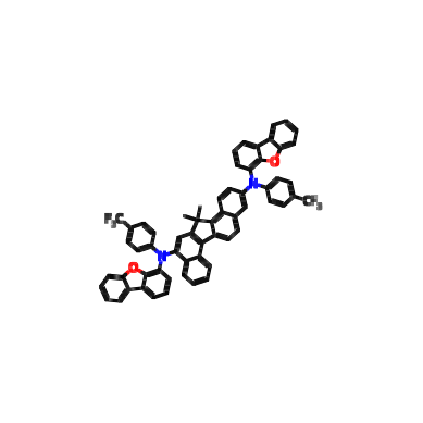 CC1(C)c2cc(N(c3ccc(C(F)(F)F)cc3)c3cccc4c3oc3ccccc34)c3ccccc3c2-c2ccc3cc(N(c4ccc(C(F)(F)F)cc4)c4cccc5c4oc4ccccc45)ccc3c21